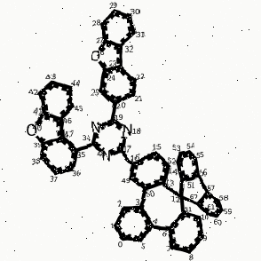 c1ccc2c(c1)-c1ccccc1C1(c3ccc(-c4nc(-c5ccc6c(c5)oc5ccccc56)nc(-c5cccc6oc7ccccc7c56)n4)cc3-2)c2ccccc2-c2ccccc21